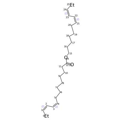 CC/C=C\C=C/CCCCCCCC(=O)OCCCCCC/C=C\C=C/CC